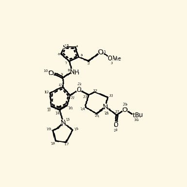 COOCc1cscc1NC(=O)c1ccc(N2CCCC2)cc1OC1CCN(C(=O)OC(C)(C)C)CC1